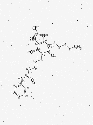 CCCCCn1c(=O)n(CCCCC(=O)Nc2ccccc2)c(=O)c2[nH]c(Cl)nc21